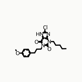 CCCCCn1c(=O)n(CCCc2ccc(OC)cc2)c(=O)c2[nH]c(Cl)nc21